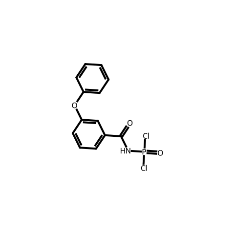 O=C(NP(=O)(Cl)Cl)c1cccc(Oc2ccccc2)c1